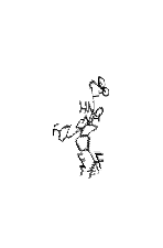 CC(F)(c1ccc2c(c1)CC[C@H]1N(C(=O)NC3CCS(=O)(=O)C3)CC[C@@]21Cc1ccc(F)cc1)C(F)(F)F